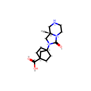 O=C1N2CCNC[C@H]2CN1C12CCC(C(=O)O)(CC1)C2